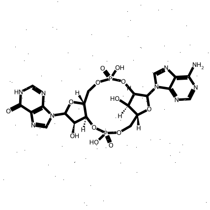 Nc1ncnc2c1ncn2C1O[C@@H]2COP(=O)(O)O[C@@H]3[C@@H](COP(=O)(O)O[C@@H]1[C@@H]2O)OC(n1cnc2c(=O)[nH]cnc21)[C@@H]3O